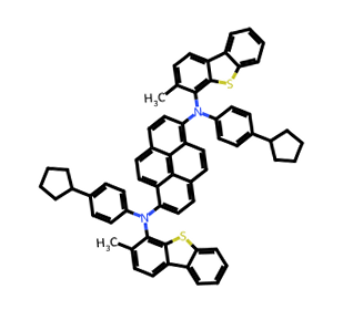 Cc1ccc2c(sc3ccccc32)c1N(c1ccc(C2CCCC2)cc1)c1ccc2ccc3c(N(c4ccc(C5CCCC5)cc4)c4c(C)ccc5c4sc4ccccc45)ccc4ccc1c2c43